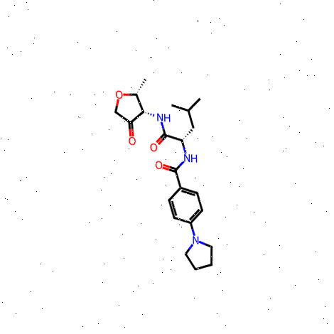 CC(C)C[C@H](NC(=O)c1ccc(N2CCCC2)cc1)C(=O)N[C@@H]1C(=O)CO[C@@H]1C